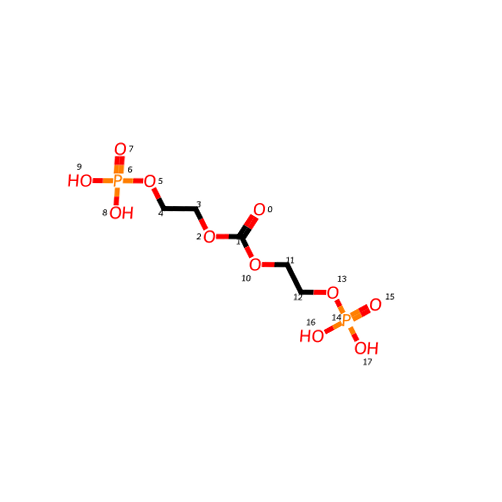 O=C(OCCOP(=O)(O)O)OCCOP(=O)(O)O